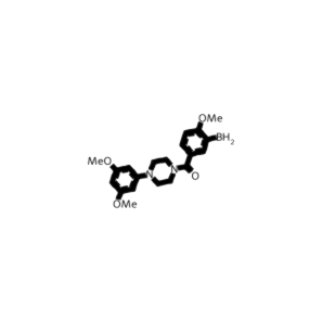 Bc1cc(C(=O)N2CCN(c3cc(OC)cc(OC)c3)CC2)ccc1OC